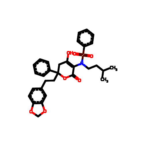 CC(C)CCN(C1=C(O)CC(CCc2ccc3c(c2)OCO3)(c2ccccc2)OC1=O)S(=O)(=O)c1ccccc1